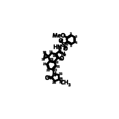 COc1ccccc1S(=O)(=O)Nc1noc2c1CC1(CC1)c1ccc(N3C[C@@H](C)CC3=O)cc1-2